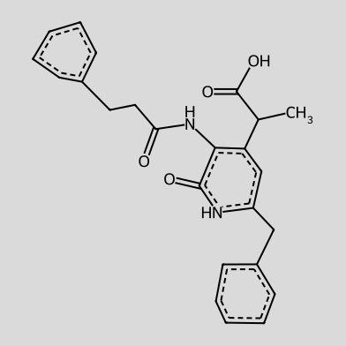 CC(C(=O)O)c1cc(Cc2ccccc2)[nH]c(=O)c1NC(=O)CCc1ccccc1